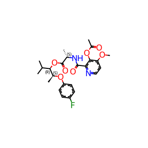 COc1ccnc(C(=O)N[C@@H](C)C(=O)O[C@H](C(C)C)[C@H](C)Oc2ccc(F)cc2)c1OC(C)=O